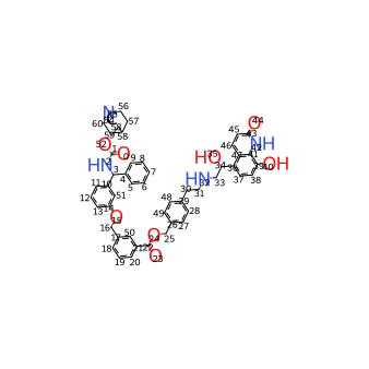 O=C(N[C@@H](c1ccccc1)c1cccc(OCc2cccc(C(=O)OCc3ccc(CCNCC(O)c4ccc(O)c5[nH]c(=O)ccc45)cc3)c2)c1)OC1CN2CCC1CC2